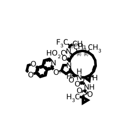 C[C@@H]1CCC=C[C@@H]2C[C@@]2(C(=O)NS(=O)(=O)C2(C)CC2)NC(=O)[C@@H]2C[C@@H](Oc3nccc4c5c(ccc34)OCCO5)CN2C(=O)[C@@H](N(C(=O)O)[C@H](C)C(F)(F)F)[C@H](C)C1